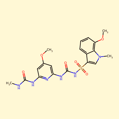 CNC(=O)Nc1cc(OC)cc(NC(=O)NS(=O)(=O)c2cn(C)c3c(OC)cccc23)n1